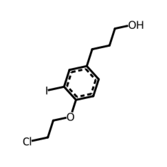 OCCCc1ccc(OCCCl)c(I)c1